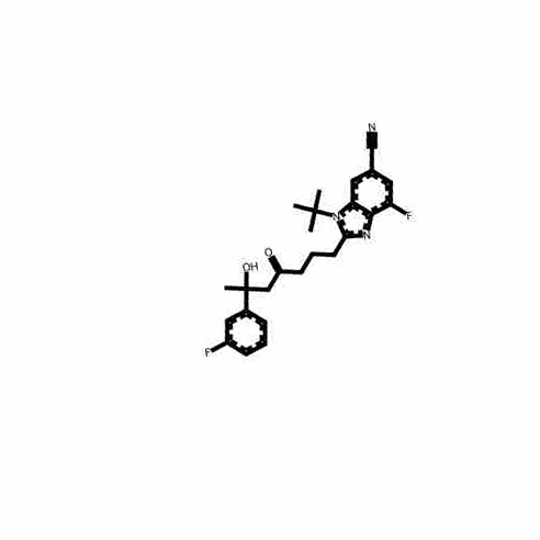 CC(O)(CC(=O)CCCc1nc2c(F)cc(C#N)cc2n1C(C)(C)C)c1cccc(F)c1